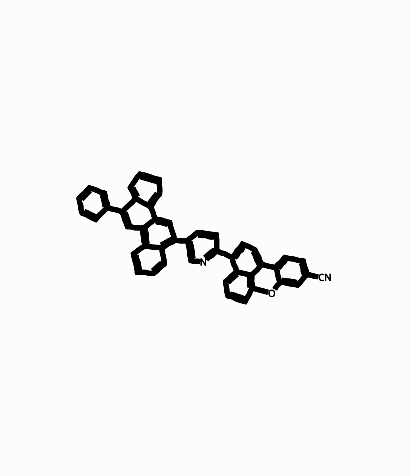 N#Cc1ccc2c(c1)Oc1cccc3c(-c4ccc(-c5cc6c7ccccc7c(-c7ccccc7)cc6c6ccccc56)cn4)ccc-2c13